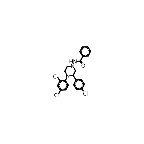 O=C(NN1CCN(c2ccc(Cl)cc2Cl)C(c2ccc(Cl)cc2)C1)c1ccccc1